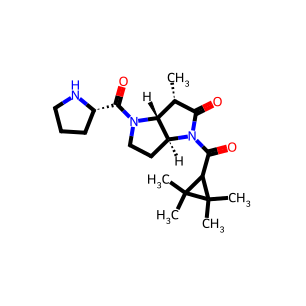 C[C@@H]1C(=O)N(C(=O)C2C(C)(C)C2(C)C)[C@H]2CCN(C(=O)[C@@H]3CCCN3)[C@H]12